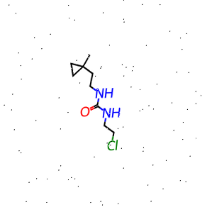 CC1(CCNC(=O)NCCCl)CC1